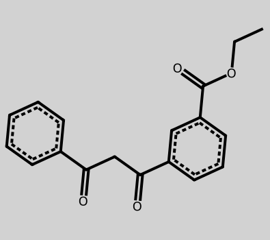 CCOC(=O)c1cccc(C(=O)CC(=O)c2ccccc2)c1